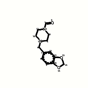 O=[C]N1CCN(Cc2ccc3c(c2)OCO3)CC1